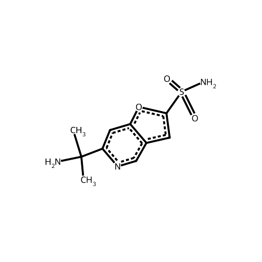 CC(C)(N)c1cc2oc(S(N)(=O)=O)cc2cn1